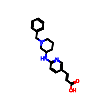 O=C(O)C=Cc1ccc(N[C@@H]2CCCN(Cc3ccccc3)C2)nc1